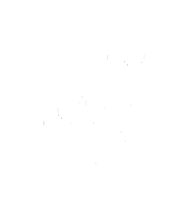 CC(C)NCC(O)COC(Cc1ccc(N(C)C)cc1)C(=O)c1ccccc1